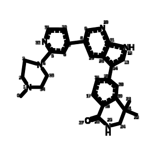 CN1CCN(c2cc(-c3cnc4[nH]cc(-c5ccc6c(c5)C(C)(C)CNC6=O)c4c3)ccn2)CC1